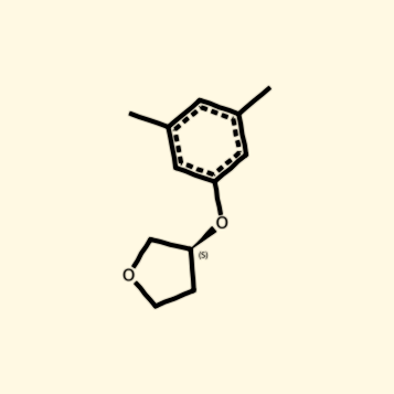 Cc1cc(C)cc(O[C@H]2CCOC2)c1